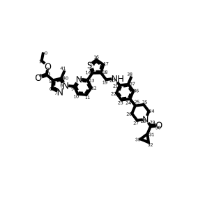 CCOC(=O)c1cnn(-c2cccc(-c3sccc3CNc3ccc(C4CCN(C(=O)C5CC5)CC4)cc3C)n2)c1C